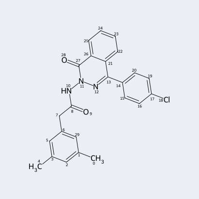 Cc1cc(C)cc(CC(=O)Nn2nc(-c3ccc(Cl)cc3)c3ccccc3c2=O)c1